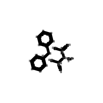 O=[PH]([O-])O[PH](=O)[O-].[Ca+2].c1ccc(Cc2ccccc2)cc1